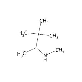 CNC(C)C(C)(C)C